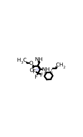 C=CC[C@@H]1CCCC[C@@H]1N/C(=C(\C=N)C(=O)OCC)C(F)(F)F